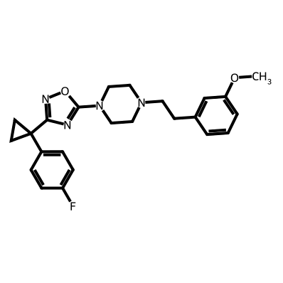 COc1cccc(CCN2CCN(c3nc(C4(c5ccc(F)cc5)CC4)no3)CC2)c1